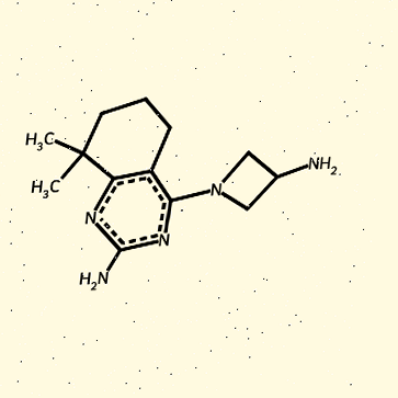 CC1(C)CCCc2c(N3CC(N)C3)nc(N)nc21